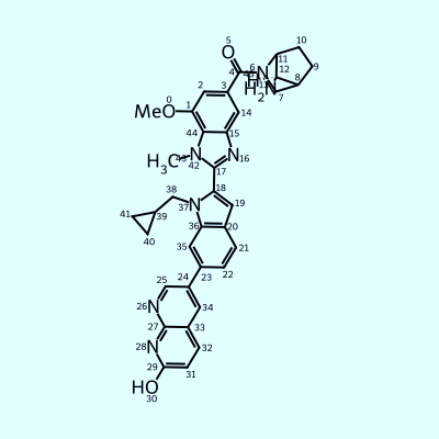 COc1cc(C(=O)N2CC3CCC2[C@@H]3N)cc2nc(-c3cc4ccc(-c5cnc6nc(O)ccc6c5)cc4n3CC3CC3)n(C)c12